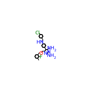 Cc1cccc(COCc2nc(N)nc(N)c2-c2ccc(NCc3ccc(Cl)cc3)cc2)c1F